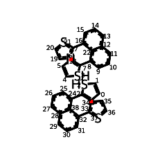 C1=C[SH]([SH]2C=CN=C2c2cccc3cccc(-c4nccs4)c23)C(c2cccc3cccc(-c4cccs4)c23)=C1